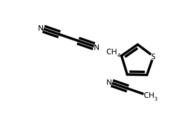 C.CC#N.N#CC#N.c1ccsc1